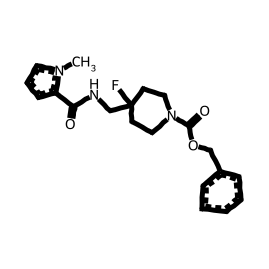 Cn1cccc1C(=O)NCC1(F)CCN(C(=O)OCc2ccccc2)CC1